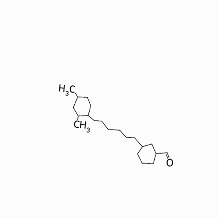 CC1CCC(CCCCCCC2CCCC(C=O)C2)C(C)C1